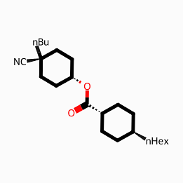 CCCCCC[C@H]1CC[C@H](C(=O)O[C@H]2CC[C@@](C#N)(CCCC)CC2)CC1